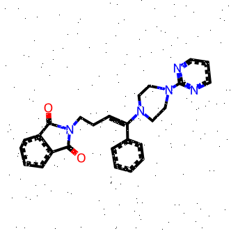 O=C1c2ccccc2C(=O)N1CC/C=C(\c1ccccc1)N1CCN(c2ncccn2)CC1